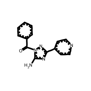 Nc1nc(-c2ccncc2)nn1C(=O)c1ccccc1